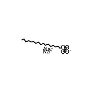 CCCCCCCCCCCCCCCCCOP(=O)([O-])[O-].[Na+].[Na+]